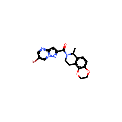 CC1c2ccc3c(c2CCN1C(=O)c1cc2ncc(Br)cn2n1)OCCO3